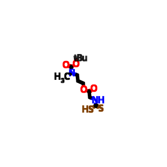 CN(CCCOC(=O)CNC(=S)S)C(=O)OC(C)(C)C